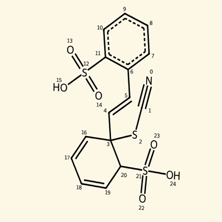 N#CSC1(C=Cc2ccccc2S(=O)(=O)O)C=CC=CC1S(=O)(=O)O